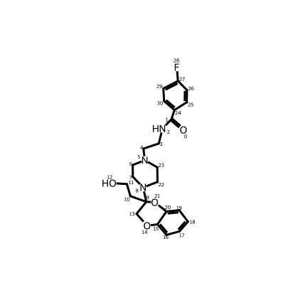 O=C(NCCN1CCN(C2(CCO)COc3ccccc3O2)CC1)c1ccc(F)cc1